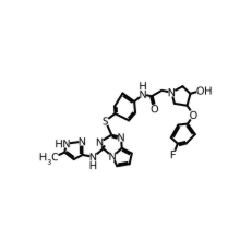 Cc1cc(Nc2nc(Sc3ccc(NC(=O)CN4CC(O)C(Oc5ccc(F)cc5)C4)cc3)nc3cccn23)n[nH]1